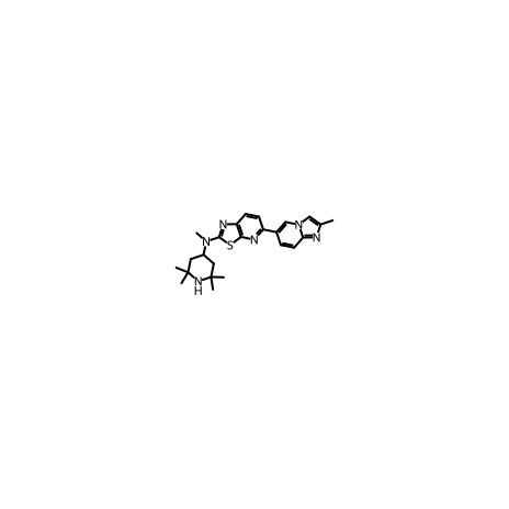 Cc1cn2cc(-c3ccc4nc(N(C)C5CC(C)(C)NC(C)(C)C5)sc4n3)ccc2n1